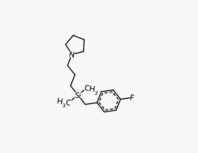 C[Si](C)(CCCN1CCCC1)Cc1ccc(F)cc1